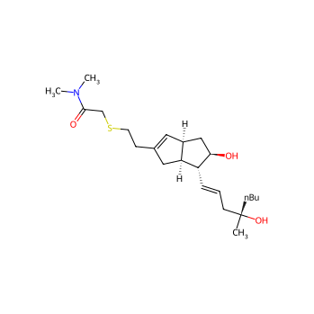 CCCC[C@](C)(O)C/C=C/[C@@H]1[C@H]2CC(CCSCC(=O)N(C)C)=C[C@H]2C[C@H]1O